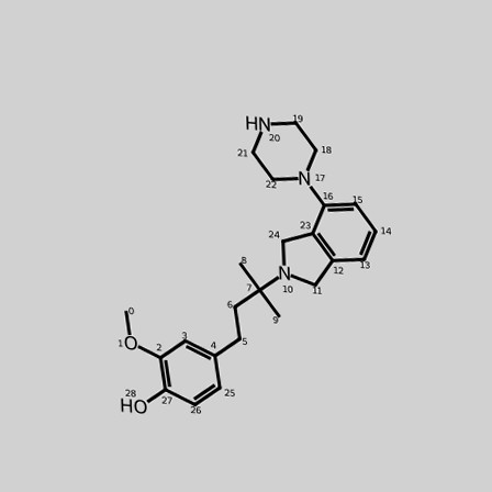 COc1cc(CCC(C)(C)N2Cc3cccc(N4CCNCC4)c3C2)ccc1O